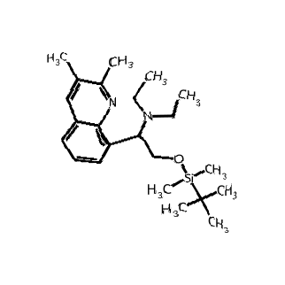 CCN(CC)C(CO[Si](C)(C)C(C)(C)C)c1cccc2cc(C)c(C)nc12